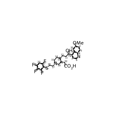 COc1ccc2nccc([C@@H](O)CC[C@@H]3CCN(CCSc4c(F)cc(F)c(F)c4F)C[C@@H]3CC(=O)O)c2c1